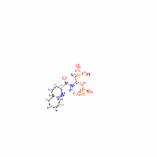 O=C(NC(O[PH](=O)O)O[PH](=O)O)c1ccc2ccccc2n1